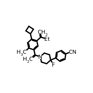 C=C(CC)c1cc(C(=C)N2CCC(F)(c3ccc(C#N)cc3)CC2)c(C)cc1C1CCC1